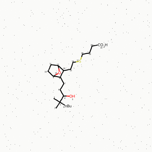 CCCCC(C)(C)C(O)CCC1C2CCC(O2)C1CCSCCCC(=O)O